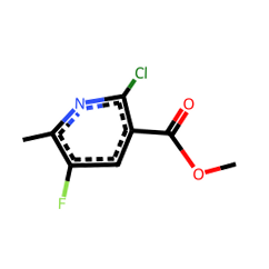 COC(=O)c1cc(F)c(C)nc1Cl